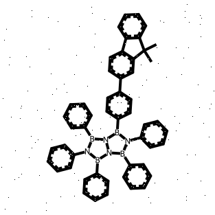 CC1(C)c2ccccc2-c2ccc(-c3ccc(B4N(c5ccccc5)B(c5ccccc5)N5B(c6ccccc6)N(c6ccccc6)B(c6ccccc6)N45)cc3)cc21